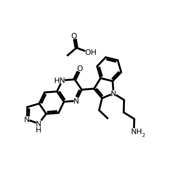 CC(=O)O.CCc1c(-c2nc3cc4[nH]ncc4cc3[nH]c2=O)c2ccccc2n1CCCN